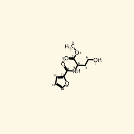 COC(=O)C(CCO)NC(=O)c1ccco1